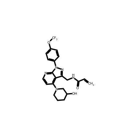 C=CC(=O)NCc1nn(-c2ccc(OC(F)(F)F)cc2)c2nccc(N3CCCC(O)C3)c12